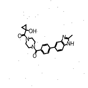 Cc1nc2cc(-c3ccc(C(=O)N4CCN(C(=O)C5(O)CC5)CC4)cc3)ccc2[nH]1